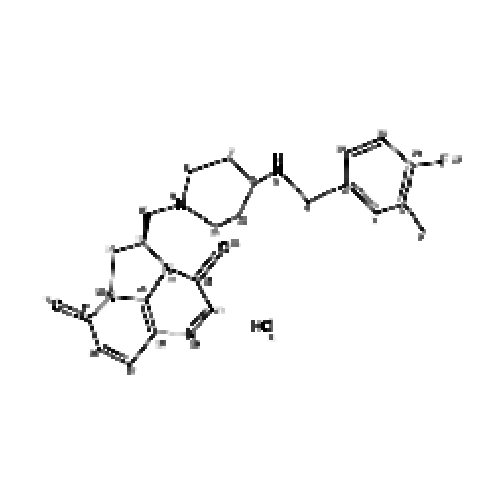 Cc1cc(CNC2CCN(C[C@@H]3Cn4c(=O)ccc5ncc(=O)n3c54)CC2)ccc1F.Cl